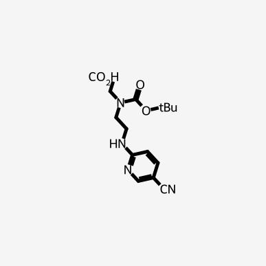 CC(C)(C)OC(=O)N(CCNc1ccc(C#N)cn1)CC(=O)O